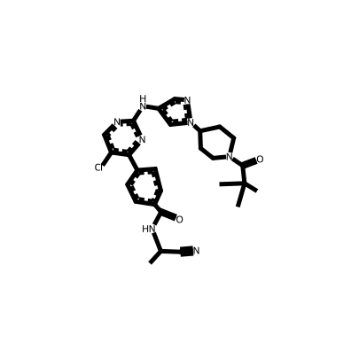 CC(C#N)NC(=O)c1ccc(-c2nc(Nc3cnn(C4CCN(C(=O)C(C)(C)C)CC4)c3)ncc2Cl)cc1